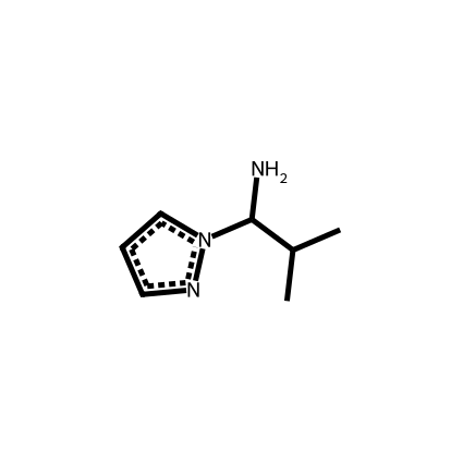 CC(C)C(N)n1cccn1